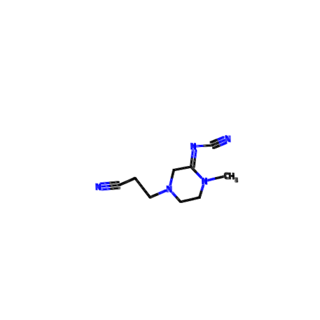 CN1CCN(CCC#N)CC1=NC#N